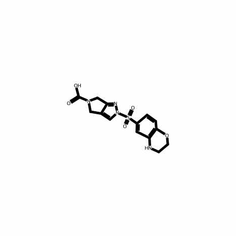 O=C(O)N1Cc2cn(S(=O)(=O)c3ccc4c(c3)NCCO4)nc2C1